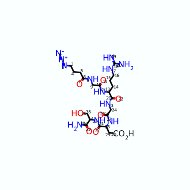 [N-]=[N+]=NCCCC(=O)NCC(=O)NC(CCCNC(=N)N)C(=O)NCC(=O)NC(CC(=O)O)C(=O)NC(CO)C(N)=O